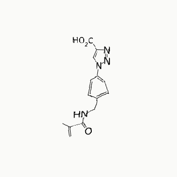 C=C(C)C(=O)NCc1ccc(-n2cc(C(=O)O)nn2)cc1